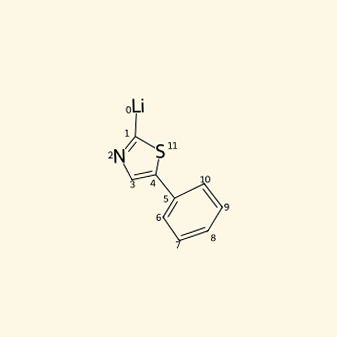 [Li][c]1ncc(-c2ccccc2)s1